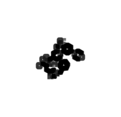 O=C(NC(Cc1cn(Cc2ccccc2)cn1)C(=O)O)C1CCN(c2cc(N3CCOCC3)ccc2[N+](=O)[O-])CC1